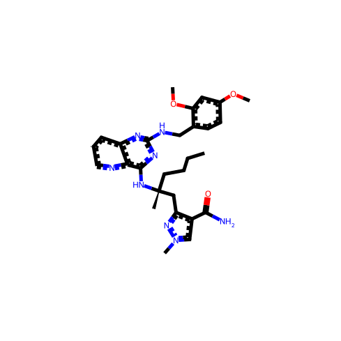 CCCC[C@](C)(Cc1nn(C)cc1C(N)=O)Nc1nc(NCc2ccc(OC)cc2OC)nc2c[c]cnc12